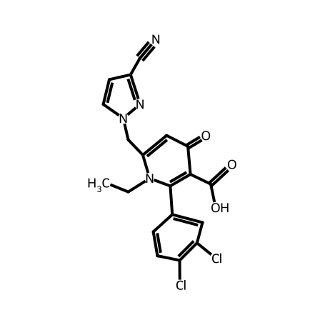 CCn1c(Cn2ccc(C#N)n2)cc(=O)c(C(=O)O)c1-c1ccc(Cl)c(Cl)c1